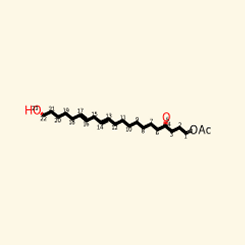 CC(=O)OCCCC(=O)CCCCCCCC=CCC=CCCCCCO